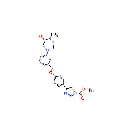 CN1CCN(c2cccc(COc3ccc(-c4cn(C(=O)OC(C)(C)C)cn4)cc3)c2)CC1=O